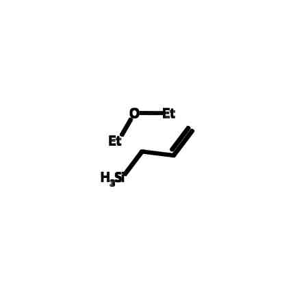 C=CC[SiH3].CCOCC